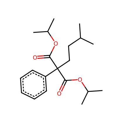 CC(C)CCC(C(=O)OC(C)C)(C(=O)OC(C)C)c1ccccc1